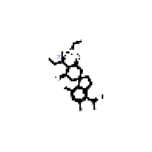 CCO/N=C(/CC)C1C(=O)CC2(CCc3c(C(C)=O)c(C)cc(C)c32)CC1=O